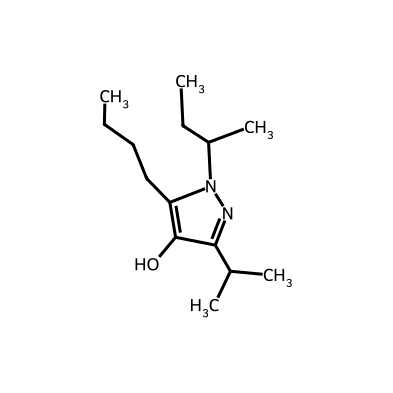 CCCCc1c(O)c(C(C)C)nn1C(C)CC